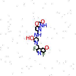 COc1cc(F)c2ncc(F)c(CCN3CC[C@H](NCc4ccc5c(n4)NC(=O)CO5)[C@H](O)C3)c2c1